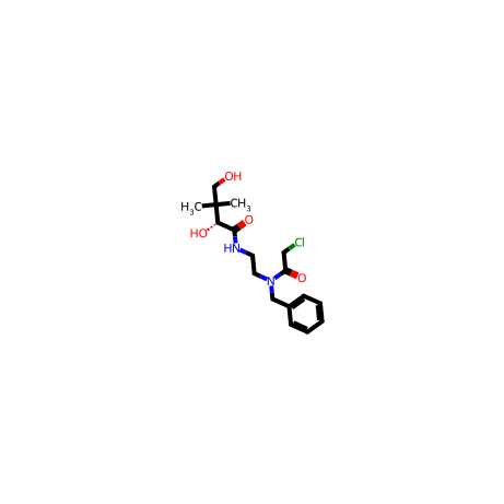 CC(C)(CO)[C@@H](O)C(=O)NCCN(Cc1ccccc1)C(=O)CCl